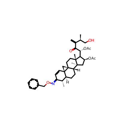 C=C(C(=O)[C@H](OC(C)=O)C1[C@@H](OC(C)=O)C[C@@]2(C)[C@@H]3CC[C@H]4[C@H](C)/C(=N/OCc5ccccc5)C=C[C@@]45C[C@@]35CC[C@]12C)[C@@H](C)CO